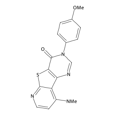 CNc1ccnc2sc3c(=O)n(-c4ccc(OC)cc4)cnc3c12